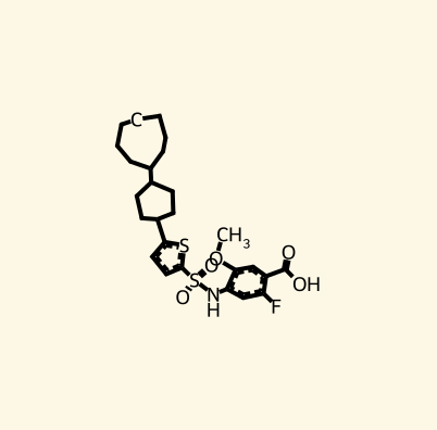 COc1cc(C(=O)O)c(F)cc1NS(=O)(=O)c1ccc(C2CCC(C3CCCCCCC3)CC2)s1